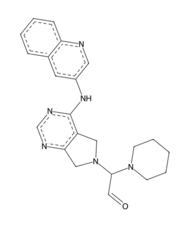 O=CC(N1CCCCC1)N1Cc2ncnc(Nc3cnc4ccccc4c3)c2C1